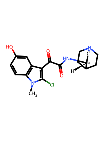 Cn1c(Cl)c(C(=O)C(=O)N[C@@H]2CN3CCC2CC3)c2cc(O)ccc21